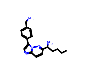 CCCCC(N)c1ccc2ncc(-c3ccc(CN)cc3)n2n1